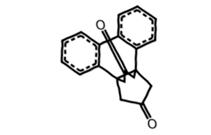 O=C1CC23CC(=O)CC2(C1)c1ccccc1-c1ccccc13